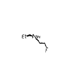 [CH2]CNCCF